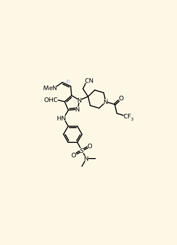 CN/C=C\c1c(C=O)c(Nc2ccc(S(=O)(=O)N(C)C)cc2)nn1C1(CC#N)CCN(C(=O)CC(F)(F)F)CC1